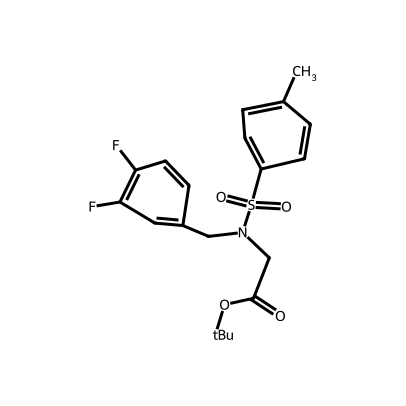 Cc1ccc(S(=O)(=O)N(CC(=O)OC(C)(C)C)Cc2ccc(F)c(F)c2)cc1